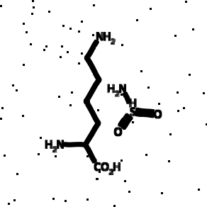 NCCCCC(N)C(=O)O.N[SH](=O)=O